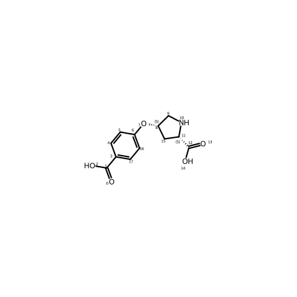 O=C(O)c1ccc(O[C@@H]2CN[C@H](C(=O)O)C2)cc1